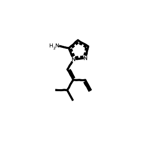 C=C/C(=C\n1nccc1N)C(C)C